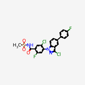 CS(=O)(=O)NC(=O)c1cc(Cl)c(-n2nc(Cl)c3cc(-c4ccc(F)cc4)ccc32)cc1F